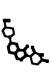 O=CC1CCN(c2ccc3cnn(C4CCC(=O)NC4=O)c(=O)c3c2)CC1